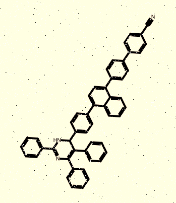 N#Cc1ccc(-c2ccc(-c3ccc(-c4ccc(C5NC(c6ccccc6)=NC(c6ccccc6)=C5c5ccccc5)cc4)c4ccccc34)cc2)cc1